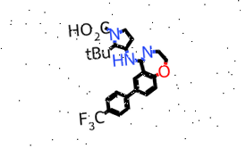 CC(C)(C)C1C(NC2=NCCOc3ccc(-c4ccc(C(F)(F)F)cc4)cc32)CCN1C(=O)O